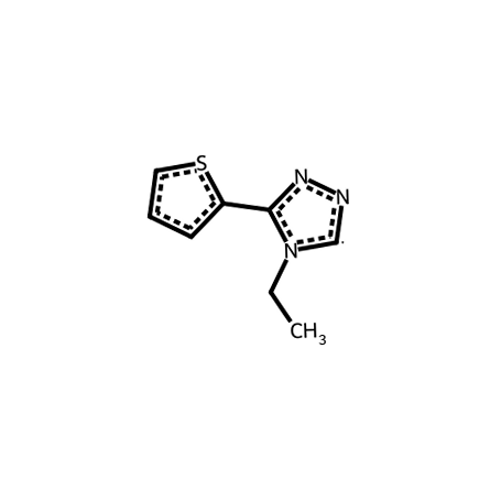 CCn1[c]nnc1-c1cccs1